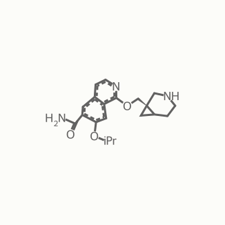 CC(C)Oc1cc2c(OC[C@@]34CNCCC3C4)nccc2cc1C(N)=O